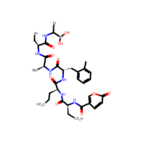 CCC(NC(=O)[C@H](CC(C)C)NC(=O)[C@@H](NC(=O)[C@H](Cc1ccccc1C)NC(=O)[C@H](CCC(=O)O)NC(=O)[C@H](CC(=O)O)NC(=O)c1ccc(=O)oc1)C(C)(C)C)B(O)O